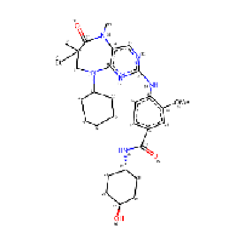 CCC1(C)CN(C2CCCCC2)c2nc(Nc3ccc(C(=O)N[C@H]4CC[C@H](O)CC4)cc3OC)ncc2N(C)C1=O